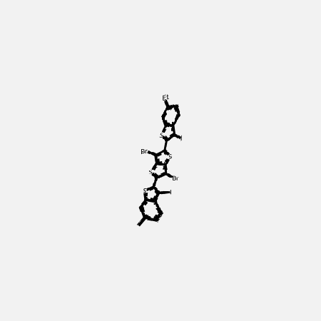 CCc1ccc2c(I)c(-c3sc4c(Br)c(-c5sc6cc(C)ccc6c5I)sc4c3Br)sc2c1